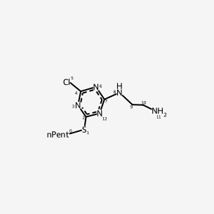 CCCCCSc1nc(Cl)nc(NCCN)n1